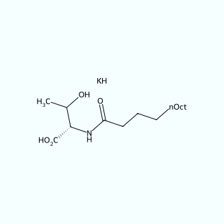 CCCCCCCCCCCC(=O)N[C@H](C(=O)O)C(C)O.[KH]